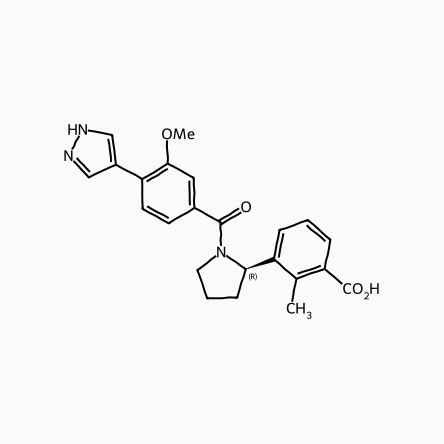 COc1cc(C(=O)N2CCC[C@@H]2c2cccc(C(=O)O)c2C)ccc1-c1cn[nH]c1